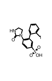 O=C1NCCN1c1ccc(S(=O)(=O)O)cc1-c1ccccc1I